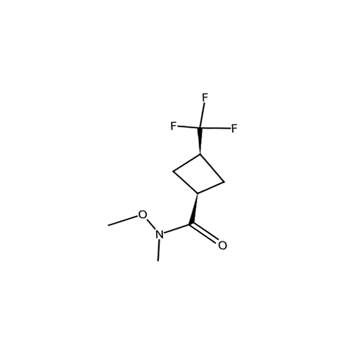 CON(C)C(=O)[C@H]1C[C@@H](C(F)(F)F)C1